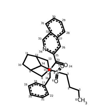 CCCCS(=O)(=O)N1CC2CCC(C1)C2N(Cc1ccccc1)C(=O)c1cc2ccccc2cn1